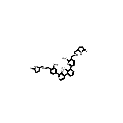 COc1cc(-c2nccc(-c3cccc(-c4ccc(CNCC5CCC(=O)N5)c(OC)n4)c3C(F)(F)F)c2Cl)ccc1CNCC1CCC(=O)N1